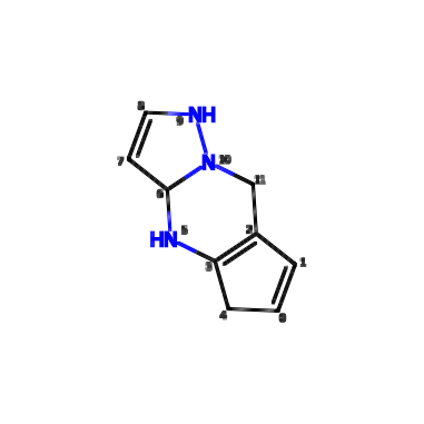 C1=CC2=C(C1)NC1C=CNN1C2